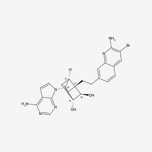 Nc1nc2cc(CC[C@@]34C5=C[C@@H]3[C@@H](n3ccc6c(N)ncnc63)[C@@]5(O)[C@@H]4O)ccc2cc1Br